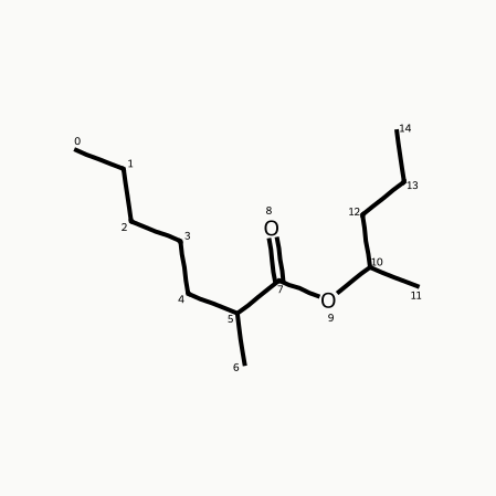 CCCCCC(C)C(=O)OC(C)CCC